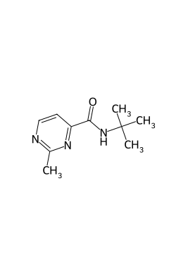 Cc1nccc(C(=O)NC(C)(C)C)n1